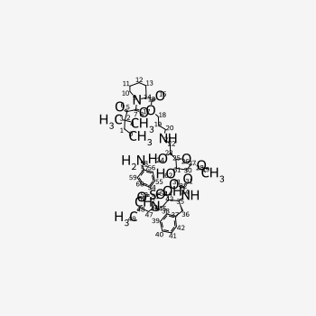 CCC(C)(C)C(=O)C(=O)N1CCCC[C@@H]1C(=O)OCCCNCC(O)[C@H]1O[C@H](OC)[C@H](OC(=O)N[C@@H](Cc2ccccc2)[C@H](O)CN(CC(C)C)S(=O)(=O)c2ccc(N)cc2)[C@H]1O